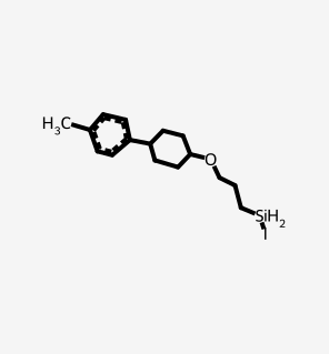 Cc1ccc(C2CCC(OCCC[SiH2]I)CC2)cc1